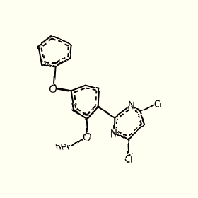 CCCOc1cc(Oc2ccccc2)ccc1-c1nc(Cl)cc(Cl)n1